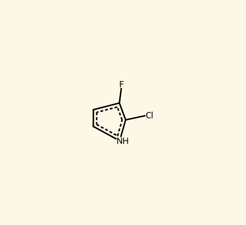 Fc1cc[nH]c1Cl